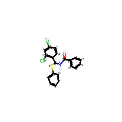 O=C(NC(Sc1ccccc1)c1ccc(Cl)cc1Cl)c1ccccc1